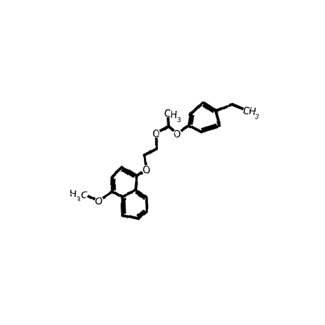 CCc1ccc(OC(C)OCCOc2ccc(OC)c3ccccc23)cc1